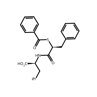 CC(C)C[C@H](NC(=O)[C@H](Cc1ccccc1)SC(=O)c1ccccc1)C(=O)O